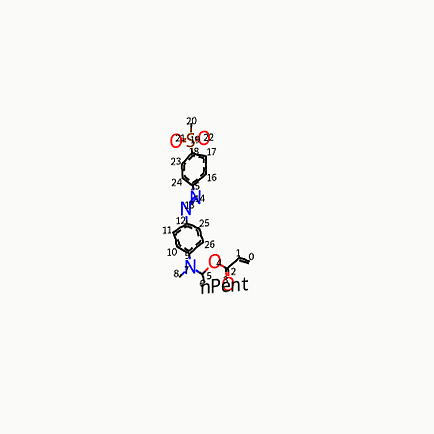 C=CC(=O)OC(CCCCC)N(C)c1ccc(N=Nc2ccc(S(C)(=O)=O)cc2)cc1